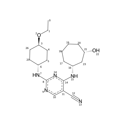 CCO[C@H]1CC[C@H](Nc2ncc(C#N)c(N[C@@H]3CCCC[C@H](O)C3)n2)CC1